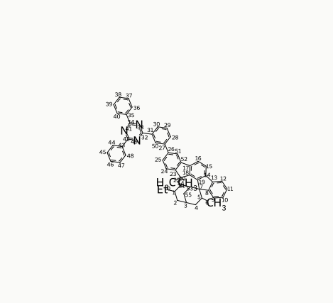 CCC1CC2CC(C)C3(c4ccccc4-c4ccc5c(c43)C(C)(C)c3ccc(-c4cccc(-c6nc(-c7ccccc7)nc(-c7ccccc7)n6)c4)cc3-5)C(C1)C2